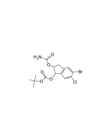 CC(C)(C)OC(=O)OC1c2cc(Cl)c(Br)cc2CC1OC(N)=O